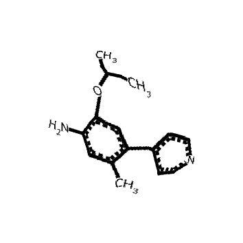 Cc1cc(N)c(OC(C)C)cc1-c1ccncc1